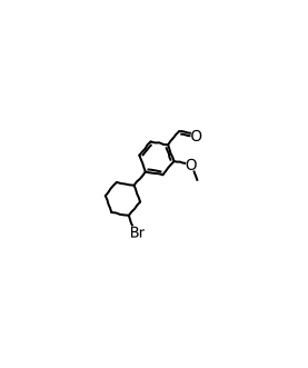 COc1cc(C2CCCC(Br)C2)ccc1C=O